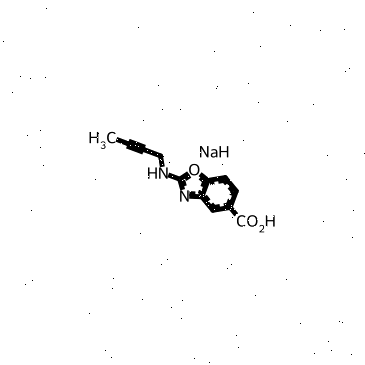 CC#CCNc1nc2cc(C(=O)O)ccc2o1.[NaH]